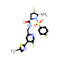 C[C@H]1[C@H](F)C[C@@H](C(=O)NCc2cc(-c3ncc(C(F)(F)F)s3)c(F)cn2)N1S(=O)(=O)c1ccc(F)cc1